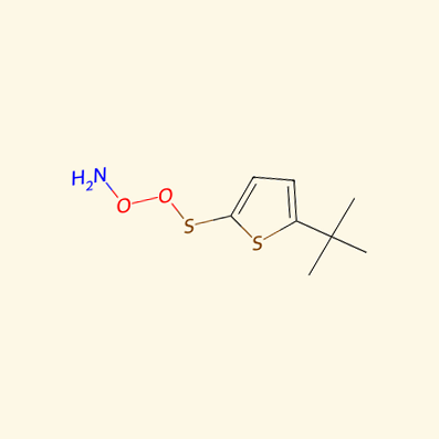 CC(C)(C)c1ccc(SOON)s1